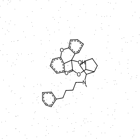 CN(CCCCc1ccccc1)C1CC2CCC1C2OC(=O)C1(O)c2ccccc2Oc2ccccc21